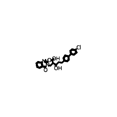 O=C(O)C(Cn1nnc2ccccc2c1=O)[C@H](O)CCc1ccc(-c2ccc(Cl)cc2)cc1